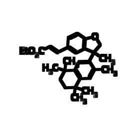 CCOC(=O)/C=C/c1ccc2c(c1)C(C)(c1cc3c(cc1C)C(C)(C)CCC3(C)C)CO2